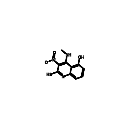 CNc1c([N+](=O)[O-])c(S)nc2cccc(O)c12